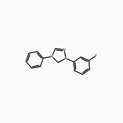 Fc1cccc(N2CN(c3ccccc3)C=N2)c1